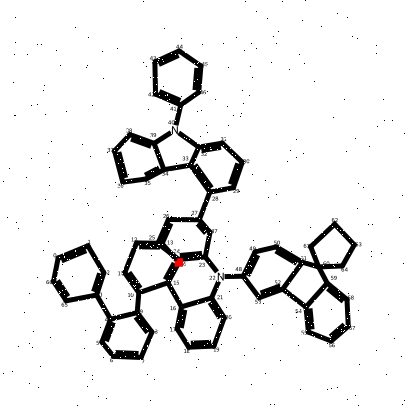 c1ccc(-c2ccccc2-c2ccccc2-c2ccccc2N(c2cccc(-c3cccc4c3c3ccccc3n4-c3ccccc3)c2)c2ccc3c(c2)-c2ccccc2C32CCCC2)cc1